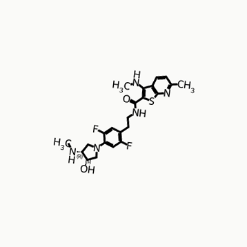 CNc1c(C(=O)NCCc2cc(F)c(N3C[C@H](O)[C@H](NC)C3)cc2F)sc2nc(C)ccc12